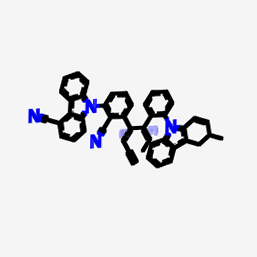 C#C/C=C(\C(=C/C)c1ccccc1-n1c2c(c3ccccc31)CC(C)C=C2)c1cccc(-n2c3ccccc3c3c(C#N)cccc32)c1C#N